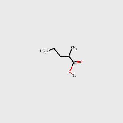 CCOC(=O)C(C)CCC(=O)O